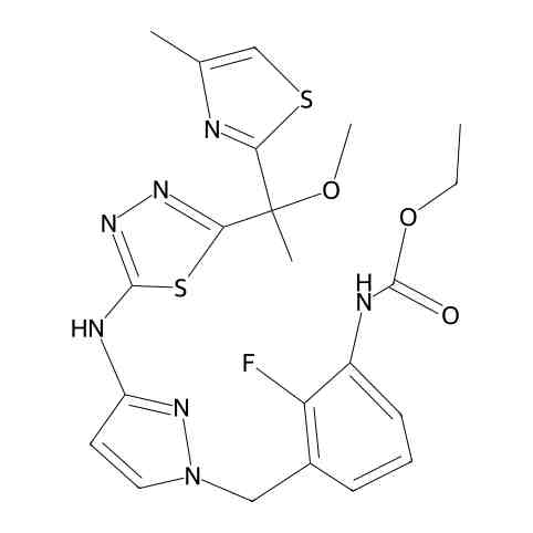 CCOC(=O)Nc1cccc(Cn2ccc(Nc3nnc(C(C)(OC)c4nc(C)cs4)s3)n2)c1F